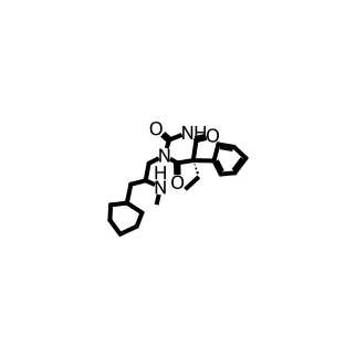 CC[C@@]1(c2ccccc2)C(=O)NC(=O)N(CC(CC2CCCCC2)NC)C1=O